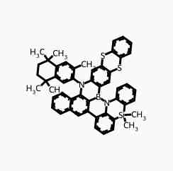 Cc1cc2c(cc1N1c3cc4c(cc3B3c5c(cc6ccccc6c51)-c1cccc5c1N3c1ccccc1[Si]5(C)C)Sc1ccccc1S4)C(C)(C)CCC2(C)C